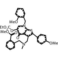 CCOC(=O)Oc1cn(Cc2ccccc2OC)c2sc(-c3ccc(OC)cc3)c(CN(C)Cc3ccccc3C(=O)OC)c2c1=O